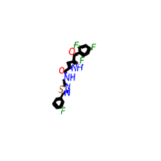 O=C(NCc1nnc(-c2cccc(F)c2)s1)c1cc(C(=O)c2c(F)cc(F)cc2F)c[nH]1